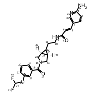 Nc1ccc(/C=C/C(=O)NCCC2[C@H]3CN(C(=O)c4cccc(OC(F)F)c4)C[C@@H]23)cn1